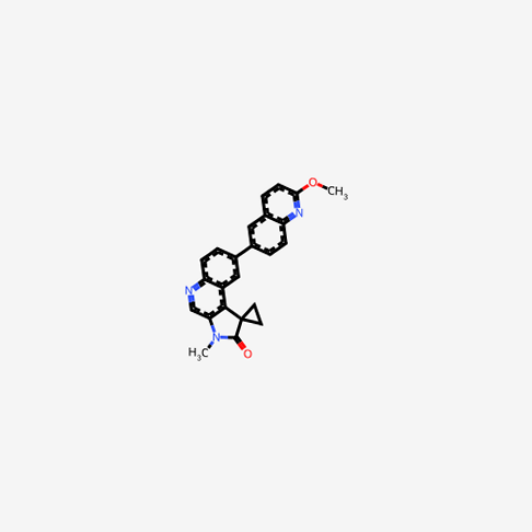 COc1ccc2cc(-c3ccc4ncc5c(c4c3)C3(CC3)C(=O)N5C)ccc2n1